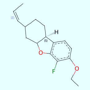 C/C=C\C1CC[C@H]2c3ccc(OCC)c(F)c3OC2C1